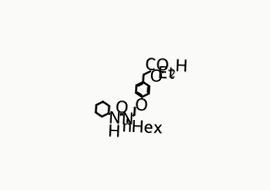 CCCCCCN(CCOc1ccc(CC(OCC)C(=O)O)cc1)C(=O)NC1CCCCC1